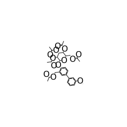 COc1cccc(-c2ccc(OC3OC(COC(C)=O)C(OC(C)=O)C(OC(C)=O)C3OC(C)=O)c(COC(C)=O)c2)c1